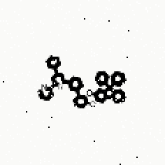 c1ccc(-c2cc(-c3cccc(-c4cccc5c4Oc4cc6c(cc4O5)-c4ccccc4C6(c4ccccc4)c4ccccc4)c3)nc(-c3ccccn3)c2)cc1